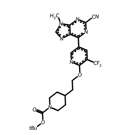 Cn1cnc2c(-c3cnc(OCCC4CCN(C(=O)OC(C)(C)C)CC4)c(C(F)(F)F)c3)nc(C#N)nc21